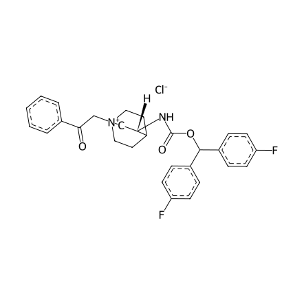 O=C(N[C@H]1C[N+]2(CC(=O)c3ccccc3)CCC1CC2)OC(c1ccc(F)cc1)c1ccc(F)cc1.[Cl-]